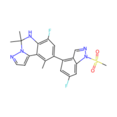 Cc1c(-c2cc(F)cc3c2cnn3S(C)(=O)=O)cc(F)c2c1-c1ccnn1C(C)(C)N2